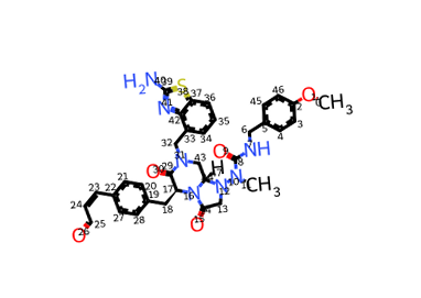 COc1ccc(CNC(=O)N(C)N2CC(=O)N3[C@@H](Cc4ccc(/C=C\C=O)cc4)C(=O)N(Cc4cccc5sc(N)nc45)C[C@@H]32)cc1